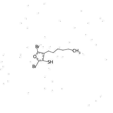 CCCCCCc1c(Br)oc(Br)c1S